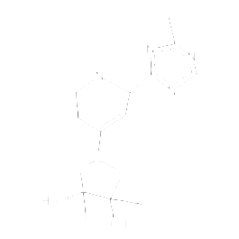 CC1(C)OB(C2=CC(c3ncnc(Cl)n3)NCC2)OC1(C)C